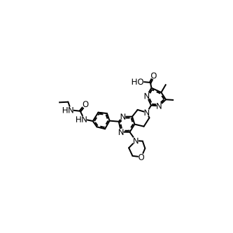 CCNC(=O)Nc1ccc(-c2nc3c(c(N4CCOCC4)n2)CCN(c2nc(C)c(C)c(C(=O)O)n2)C3)cc1